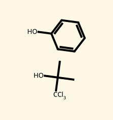 CC(C)(O)C(Cl)(Cl)Cl.Oc1ccccc1